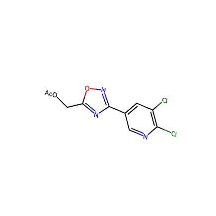 CC(=O)OCc1nc(-c2cnc(Cl)c(Cl)c2)no1